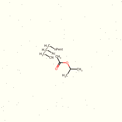 CC#N.CC(=O)OC(C)C.CC(C)=O.CCCCCC